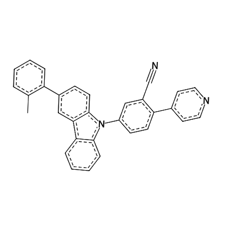 Cc1ccccc1-c1ccc2c(c1)c1ccccc1n2-c1ccc(-c2ccncc2)c(C#N)c1